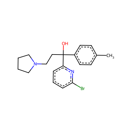 Cc1ccc(C(O)(CCN2CCCC2)c2cccc(Br)n2)cc1